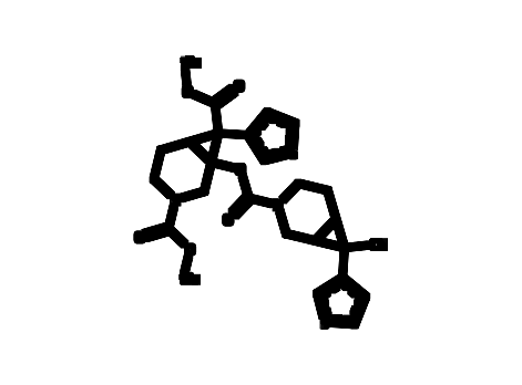 CC(C)(C)OC(=O)N1CCC2C(OC(=O)N3CCC4C(C3)C4(C#N)c3ccsc3)(C1)C2(C(=O)OC(C)(C)C)c1ccsc1